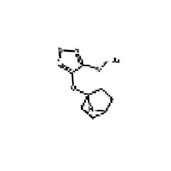 CCCCOc1nsnc1OC12CCC(CC1)N2